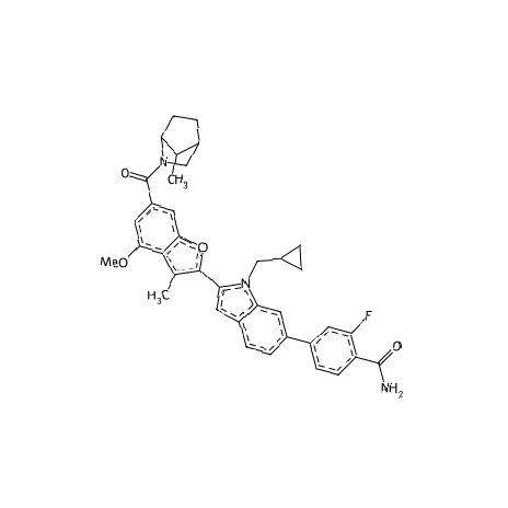 COc1cc(C(=O)N2CC3CCC2C3C)cc2oc(-c3cc4ccc(-c5ccc(C(N)=O)c(F)c5)cc4n3CC3CC3)c(C)c12